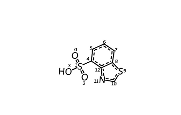 O=S(=O)(O)c1cccc2scnc12